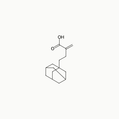 C=C(CCC12CC3CC(CC(C3)C1)C2)C(=O)O